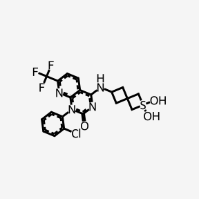 O=c1nc(NC2CC3(C2)CS(O)(O)C3)c2ccc(C(F)(F)F)nc2n1-c1ccccc1Cl